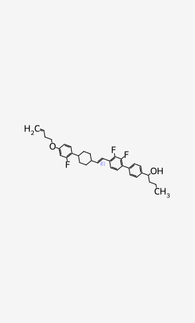 C=CCCOc1ccc(C2CCC(/C=C/c3ccc(-c4ccc(C(O)CCC)cc4)c(F)c3F)CC2)c(F)c1